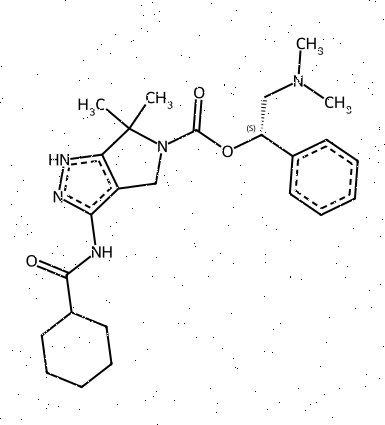 CN(C)C[C@@H](OC(=O)N1Cc2c(NC(=O)C3CCCCC3)n[nH]c2C1(C)C)c1ccccc1